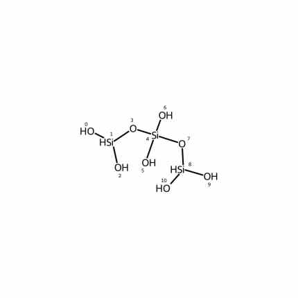 O[SiH](O)O[Si](O)(O)O[SiH](O)O